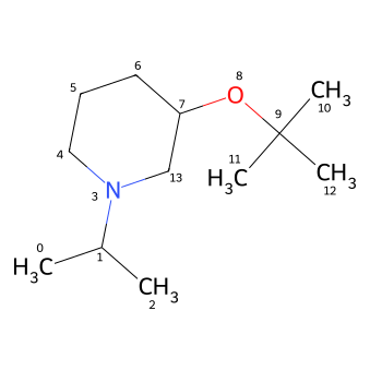 CC(C)N1CCCC(OC(C)(C)C)C1